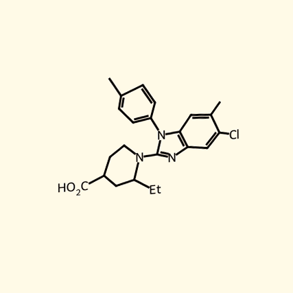 CCC1CC(C(=O)O)CCN1c1nc2cc(Cl)c(C)cc2n1-c1ccc(C)cc1